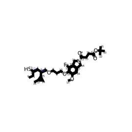 CC/C(S)=C\C(=C\OCCCOc1c(OC)cc2c(c1F)CN(C(=O)CCC(=O)OC(C)(C)C)C2)C1CC1C